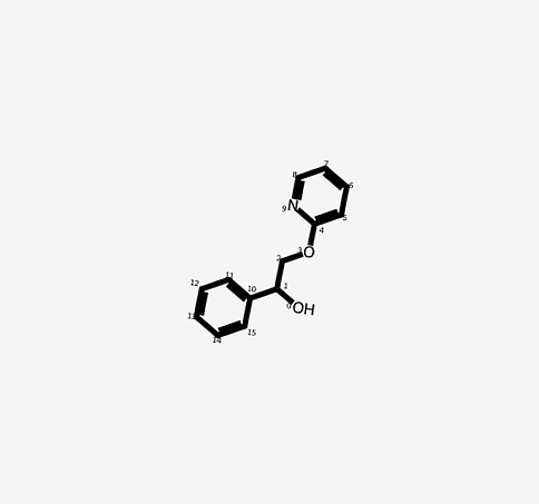 OC(COc1ccccn1)c1ccccc1